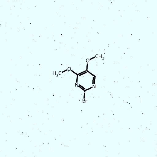 COc1cnc(Br)nc1OC